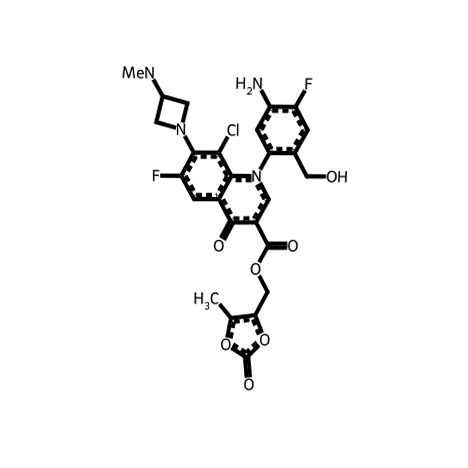 CNC1CN(c2c(F)cc3c(=O)c(C(=O)OCc4oc(=O)oc4C)cn(-c4cc(N)c(F)cc4CO)c3c2Cl)C1